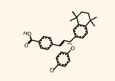 CC1(C)CCC(C)(C)c2cc([C@@H](C=Cc3ccc(C(=O)O)cc3)Oc3ccc(Cl)cc3)ccc21